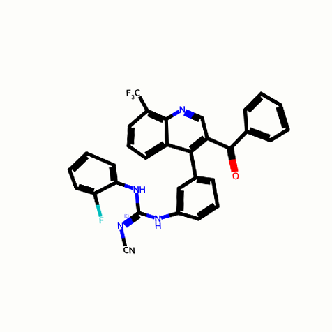 N#C/N=C(\Nc1cccc(-c2c(C(=O)c3ccccc3)cnc3c(C(F)(F)F)cccc23)c1)Nc1ccccc1F